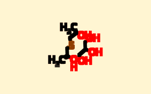 C=C(O)CSCC(=C)O.OCC(O)CO